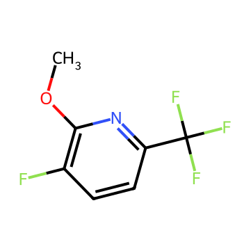 COc1nc(C(F)(F)F)ccc1F